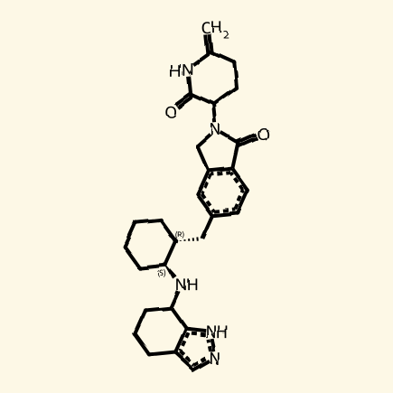 C=C1CCC(N2Cc3cc(C[C@H]4CCCC[C@@H]4NC4CCCc5cn[nH]c54)ccc3C2=O)C(=O)N1